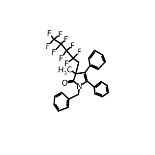 CC1(CC(F)(F)C(F)(F)C(F)(F)C(F)(F)F)C(=O)N(Cc2ccccc2)C(c2ccccc2)=C1c1ccccc1